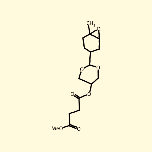 COC(=O)CCC(=O)OC1COC(C2CCC3(C)OC3C2)OC1